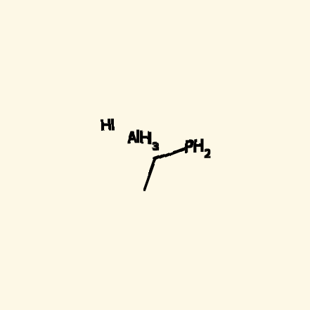 CCP.I.[AlH3]